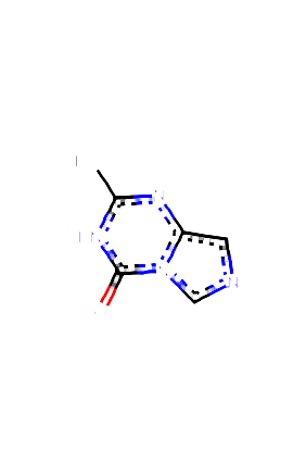 Cc1nc2cncn2c(=O)[nH]1